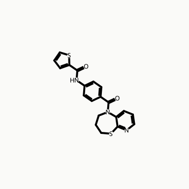 O=C(Nc1ccc(C(=O)N2CCCSc3ncccc32)cc1)c1cccs1